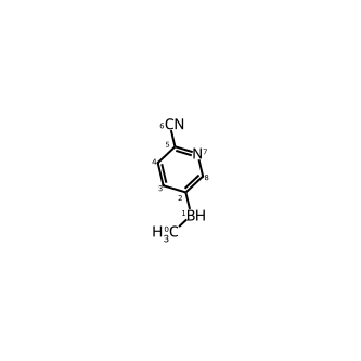 CBc1ccc(C#N)nc1